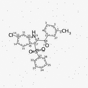 Cc1cccc(C(=O)c2[nH]c3cc(Cl)ccc3c2S(=O)(=O)c2ccccc2)c1